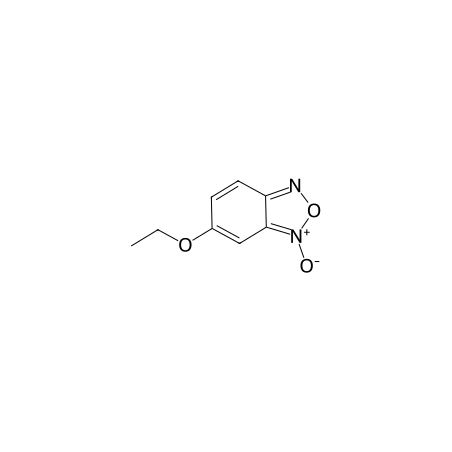 CCOc1ccc2no[n+]([O-])c2c1